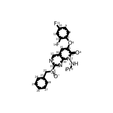 CC(C)Nn1c(=O)c(Oc2ccc(F)cc2F)cc2cnc([S+]([O-])Cc3ccccc3)nc21